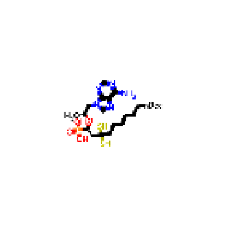 CCCCCCCCCCCCCCCCC(S)(S)C[C@H](O[C@H](C)Cn1cnc2c(N)ncnc21)P(=O)(O)O